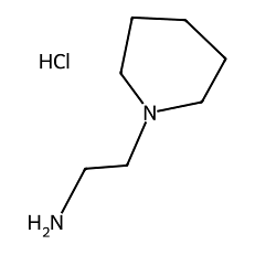 Cl.NCCN1CCCCC1